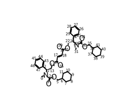 CN(C(=O)OCC1CCCCC1)[C@H](COC(=O)/C=C/C(=O)OC[C@H](c1ccccc1)N(C)C(=O)OCC1CCCCC1)c1ccccc1